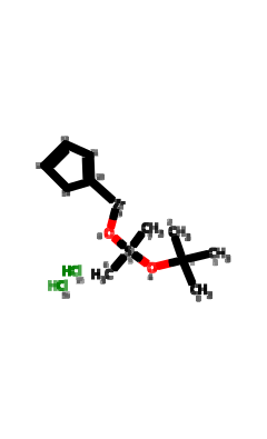 CC(C)(C)O[Si](C)(C)[O][Zr][C]1=CC=CC1.Cl.Cl